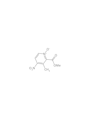 COC(=O)c1c(C)c([N+](=O)[O-])cc[n+]1[O-]